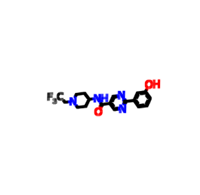 O=C(NC1CCN(CC(F)(F)F)CC1)c1cnc(-c2cccc(O)c2)nc1